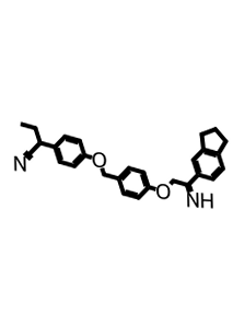 CCC(C#N)c1ccc(OCc2ccc(OCC(=N)c3ccc4c(c3)CCC4)cc2)cc1